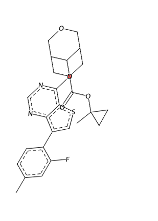 Cc1ccc(-c2csc3c(OC4C5COCC4CN(C(=O)OC4(C)CC4)C5)ncnc23)c(F)c1